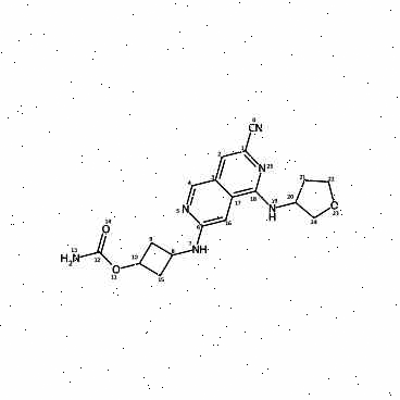 N#Cc1cc2cnc(NC3CC(OC(N)=O)C3)cc2c(NC2CCOC2)n1